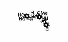 COc1cc(NC(=O)Cc2ccc(Cl)cc2)ccc1C=NNC(=O)c1ccc(O)c(C#N)c1